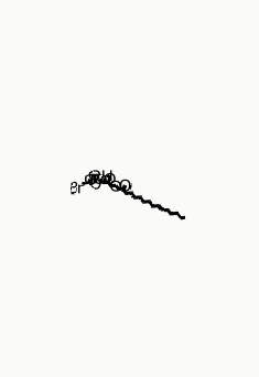 CCCCCCCCCCCCCCC(=O)COCC(COP(=O)(O)OCCBr)OC